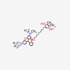 CCN(CC)c1ccc2c(-c3ccccc3C(=O)OCCCCCCCCCC3=CC(O)C(C)=C(C)C3O)c3ccc(=[N+](CC)CC)cc-3oc2c1